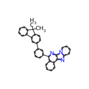 CC1(C)c2ccccc2-c2cc(-c3cccc(-c4nc5c(nc6ccccn65)c5ccccc45)c3)ccc21